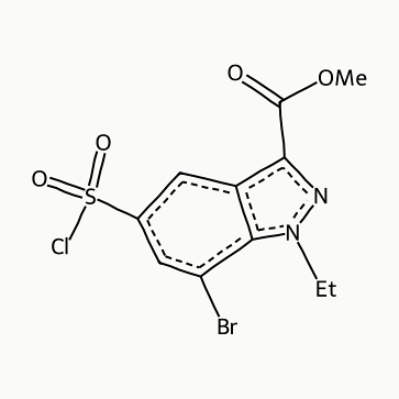 CCn1nc(C(=O)OC)c2cc(S(=O)(=O)Cl)cc(Br)c21